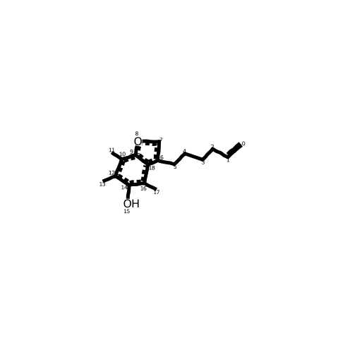 C=CCCCCc1coc2c(C)c(C)c(O)c(C)c12